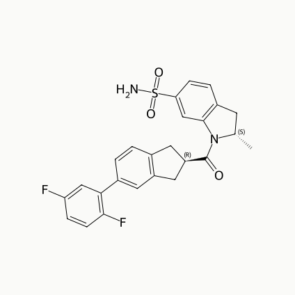 C[C@H]1Cc2ccc(S(N)(=O)=O)cc2N1C(=O)[C@@H]1Cc2ccc(-c3cc(F)ccc3F)cc2C1